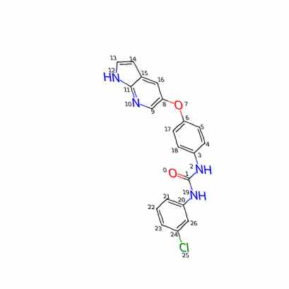 O=C(Nc1ccc(Oc2cnc3[nH]ccc3c2)cc1)Nc1cccc(Cl)c1